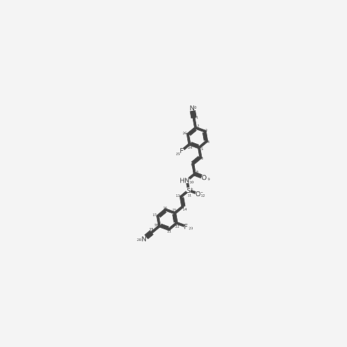 N#Cc1ccc(C=CC(=O)N[S+]([O-])C=Cc2ccc(C#N)cc2F)c(F)c1